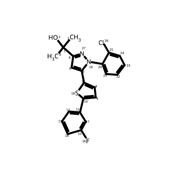 CC(C)(O)c1cc(-c2ccc(-c3cccc(F)c3)s2)n(-c2ccccc2Cl)n1